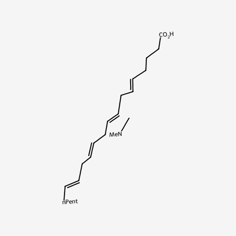 CCCCCC=CCC=CCC=CCC=CCCCC(=O)O.CNC